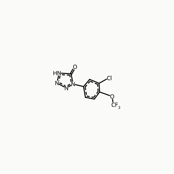 O=c1[nH]nnn1-c1ccc(OC(F)(F)F)c(Cl)c1